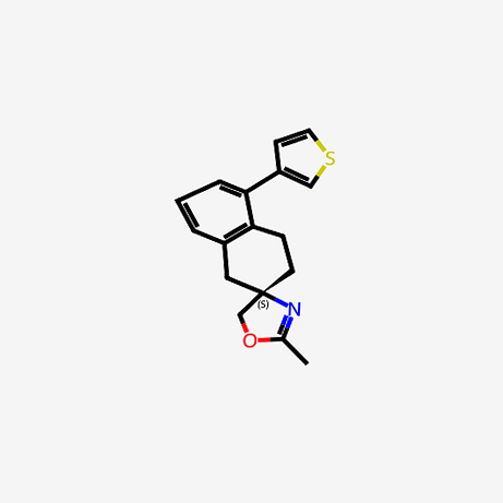 CC1=N[C@]2(CCc3c(cccc3-c3ccsc3)C2)CO1